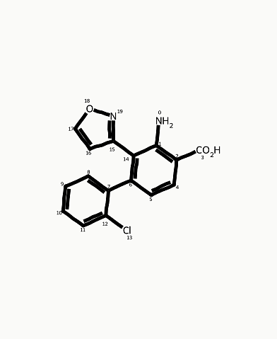 Nc1c(C(=O)O)ccc(-c2ccccc2Cl)c1-c1ccon1